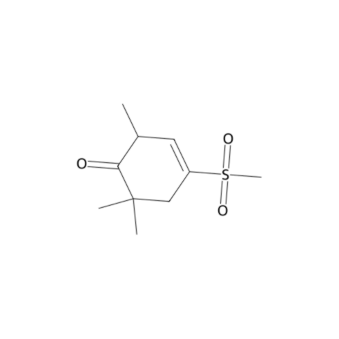 CC1C=C(S(C)(=O)=O)CC(C)(C)C1=O